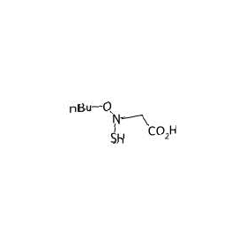 CCCCON(S)CC(=O)O